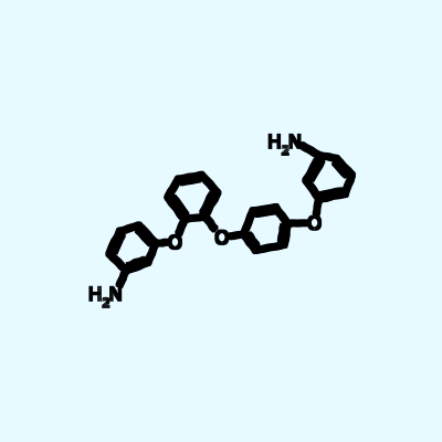 Nc1cccc(Oc2ccc(Oc3ccccc3Oc3cccc(N)c3)cc2)c1